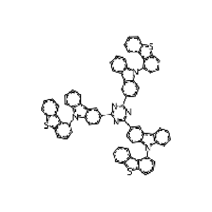 c1ccc2c(c1)sc1cccc(-n3c4ccccc4c4cc(-c5nc(-c6ccc7c(c6)c6ccccc6n7-c6cccc7sc8ccccc8c67)nc(-c6ccc7c(c6)c6ccccc6n7-c6cccc7sc8ccccc8c67)n5)ccc43)c12